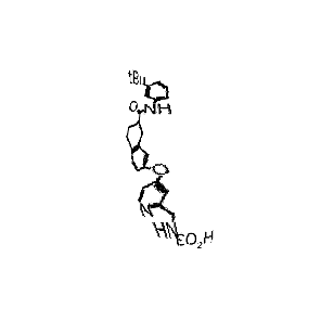 CC(C)(C)c1cccc(NC(=O)C2CCc3ccc(Oc4ccnc(CNC(=O)O)c4)cc3C2)c1